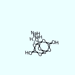 O.OB1OB2OB(O)OB(O1)O2.[NaH].[NaH]